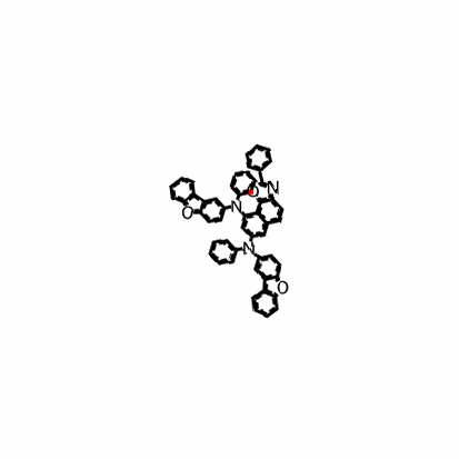 c1ccc(-c2nc3ccc4cc(N(c5ccccc5)c5ccc6oc7ccccc7c6c5)cc(N(c5ccccc5)c5ccc6oc7ccccc7c6c5)c4c3o2)cc1